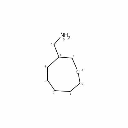 N[CH]C1CCCCCCC1